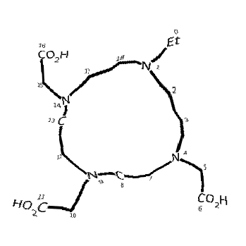 CCN1CCN(CC(=O)O)CCN(CC(=O)O)CCN(CC(=O)O)CC1